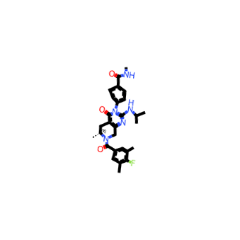 CNC(=O)c1ccc(-n2c(NC(C)C)nc3c(c2=O)C[C@@H](C)N(C(=O)c2cc(C)c(F)c(C)c2)C3)cc1